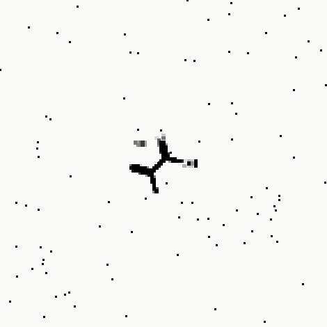 C=C(C)C(=O)O.[Sn]